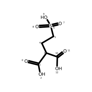 O=C(O)[C](CCS(=O)(=O)O)C(=O)O